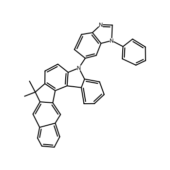 CC1(C)c2cc3ccccc3cc2-c2c1ccc1c2c2ccccc2n1-c1ccc2ncn(-c3ccccc3)c2c1